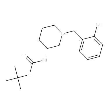 CC(C)(C)OC(=O)N[C@@H]1CCCN(Cc2ccccc2N)C1